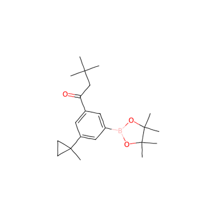 CC(C)(C)CC(=O)c1cc(B2OC(C)(C)C(C)(C)O2)cc(C2(C)CC2)c1